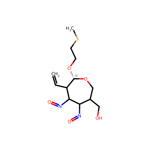 C=CC1C(N=O)C(N=O)C(CO)CO[C@H]1OCCSC